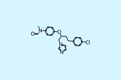 CN(C=O)c1ccc(OC(CCc2ccc(Cl)cc2)Cn2ccnc2)cc1